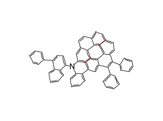 c1ccc(-c2ccc(N(c3ccc4c(ccc5ccccc54)c3)c3ccccc3-c3ccc4c(c3)c(-c3ccccc3)c(-c3ccccc3)c3ccccc34)c3ccccc23)cc1